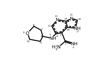 N=C(N)c1c(NC2CCOCC2)cnc2nc[nH]c12